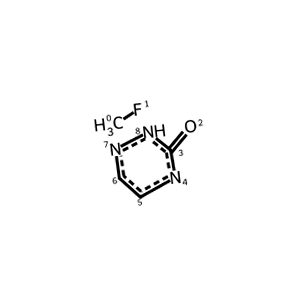 CF.O=c1nccn[nH]1